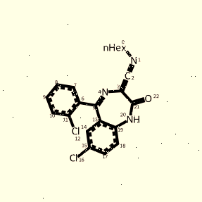 CCCCCCN=C=C1N=C(c2ccccc2Cl)c2cc(Cl)ccc2NC1=O